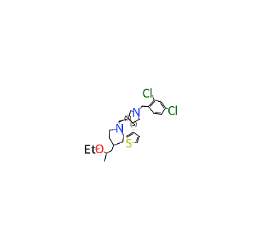 CCOC(C)CC1CCN(C[C@H]2CN(Cc3ccc(Cl)cc3Cl)C[C@@H]2c2ccsc2)CC1